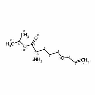 C=CCOCCC[C@H](N)C(=O)OC(C)C